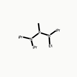 CCN(C(C)C)P(C)N(C(C)C)C(C)C